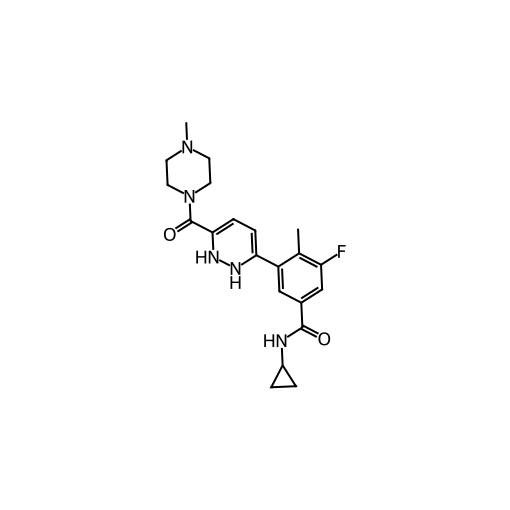 Cc1c(F)cc(C(=O)NC2CC2)cc1C1=CC=C(C(=O)N2CCN(C)CC2)NN1